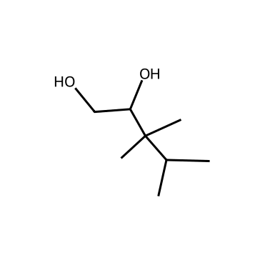 CC(C)C(C)(C)C(O)CO